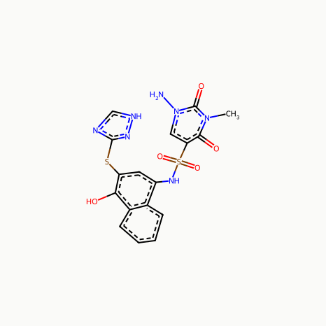 Cn1c(=O)c(S(=O)(=O)Nc2cc(Sc3nc[nH]n3)c(O)c3ccccc23)cn(N)c1=O